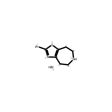 Br.CC(C)c1nc2c(s1)CCNCC2